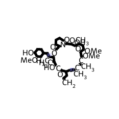 C=CCC1/C=C(\C)CC(C)CC(OC)C2OC(O)(C(=O)C(=O)N3CCCCC3C(=O)OC(/C(C)=C/C3CCC(O)C(OC)C3)C(C)C(O)CC1=O)C(C)CC2OC